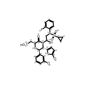 CCC(CN(c1ccccc1F)S(=O)(=O)C1CC1)N1C(=O)[C@H](CC(=O)O)O[C@H](c2cccc(Cl)c2)[C@H]1c1ccc(Cl)s1